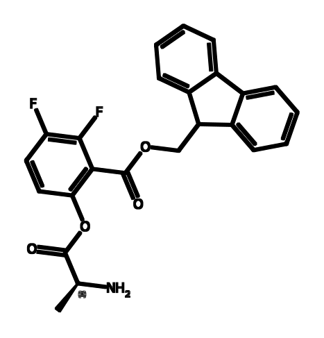 C[C@H](N)C(=O)Oc1ccc(F)c(F)c1C(=O)OCC1c2ccccc2-c2ccccc21